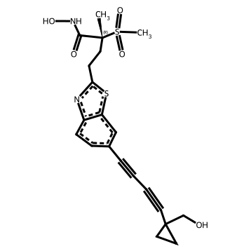 C[C@@](CCc1nc2ccc(C#CC#CC3(CO)CC3)cc2s1)(C(=O)NO)S(C)(=O)=O